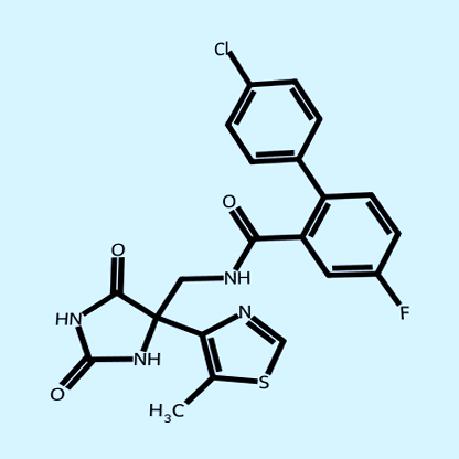 Cc1scnc1C1(CNC(=O)c2cc(F)ccc2-c2ccc(Cl)cc2)NC(=O)NC1=O